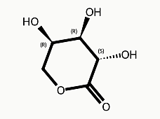 O=C1OC[C@@H](O)[C@@H](O)[C@@H]1O